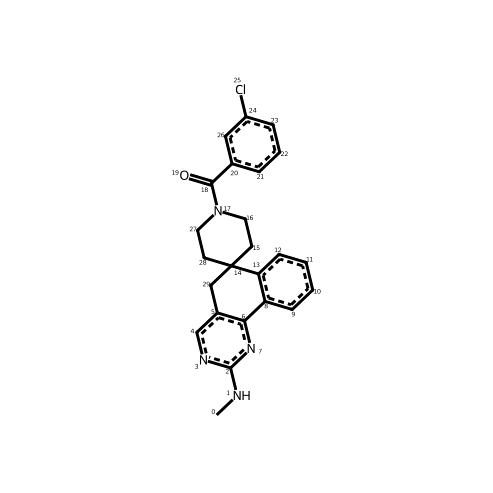 CNc1ncc2c(n1)-c1ccccc1C1(CCN(C(=O)c3cccc(Cl)c3)CC1)C2